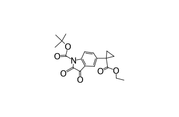 CCOC(=O)C1(c2ccc3c(c2)C(=O)C(=O)N3C(=O)OC(C)(C)C)CC1